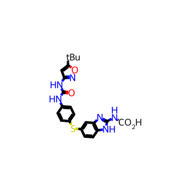 CC(C)(C)c1cc(NC(=O)Nc2ccc(Sc3ccc4[nH]c(NC(=O)O)nc4c3)cc2)no1